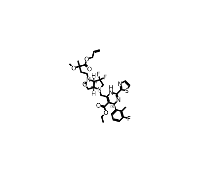 C=CCOC(=O)C(C)(CCN1OC[C@@H]2[C@H]1C(F)(F)CN2CC1=C(C(=O)OCC)[C@H](c2cccc(F)c2C)N=C(c2nccs2)N1)OC